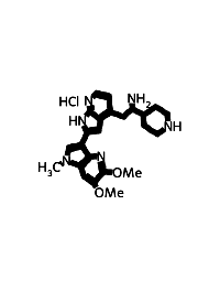 COc1cc2c(nc1OC)c(-c1cc3c(CC(N)C4CCNCC4)ccnc3[nH]1)cn2C.Cl